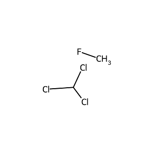 CF.ClC(Cl)Cl